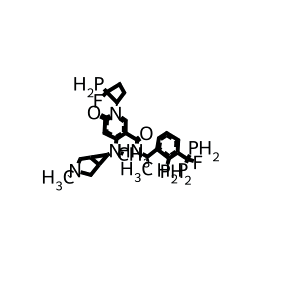 C[C@@H](NC(=O)c1cn([C@H]2CCC2(F)P)c(=O)cc1N(C)C1C2CN(C)CC21)c1cccc(C(F)(P)P)c1P